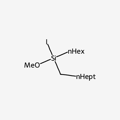 CCCCCCCC[Si](I)(CCCCCC)OC